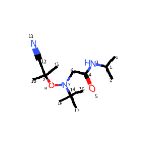 CC(C)NC(=O)CN(OC(C)(C)C#N)C(C)(C)C